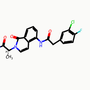 C[C@H](C(N)=O)n1ccc2c(NC(=O)Cc3ccc(F)c(Cl)c3)cccc2c1=O